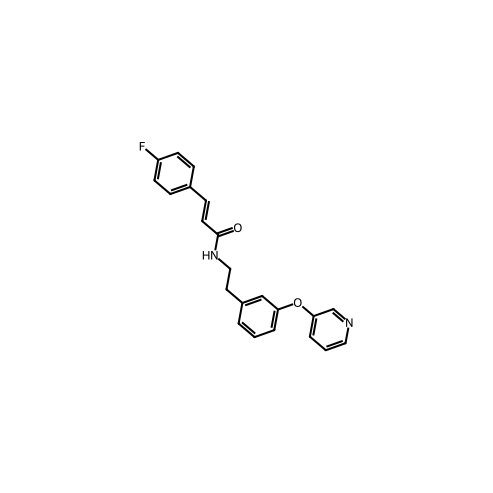 O=C(C=Cc1ccc(F)cc1)NCCc1cccc(Oc2cccnc2)c1